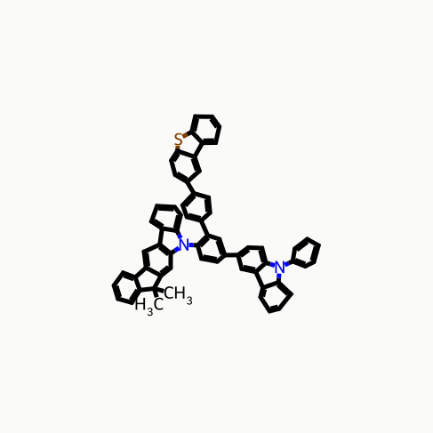 CC1(C)c2ccccc2-c2cc3c4ccccc4n(-c4ccc(-c5ccc6c(c5)c5ccccc5n6-c5ccccc5)cc4-c4ccc(-c5ccc6sc7ccccc7c6c5)cc4)c3cc21